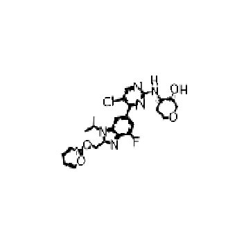 CC(C)n1c(CON2C=CC=CO2)nc2c(F)cc(-c3nc(N[C@@H]4CCOC[C@H]4O)ncc3Cl)cc21